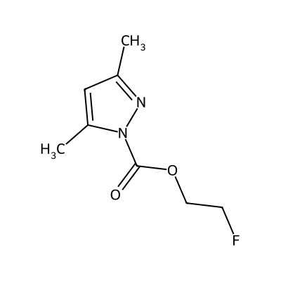 Cc1cc(C)n(C(=O)OCCF)n1